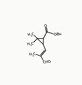 CC(C=O)=CC1C(C(=O)OCC(C)C)C1(C)C